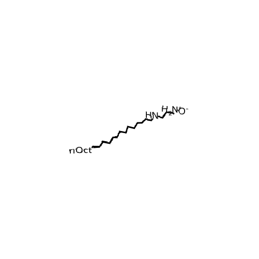 CCCCCCCCC=CCCCCCCCCCCCCNCCC[NH2+][O-]